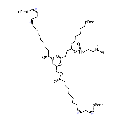 CCCCC/C=C\C/C=C\CCCCCCCC(=O)OCC(COC(=O)CCCCCCC/C=C\C/C=C\CCCCC)OC(=O)CCC(CCCCCCCCCCCCCCCC)OC(=O)NCCN(C)CC